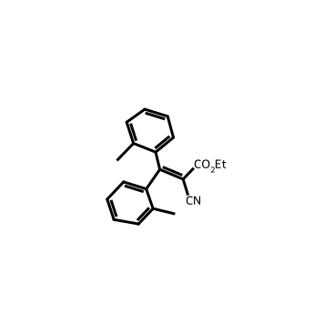 CCOC(=O)C(C#N)=C(c1ccccc1C)c1ccccc1C